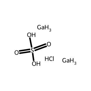 Cl.O=S(=O)(O)O.[GaH3].[GaH3]